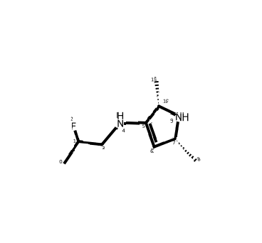 CC(F)CNC1=C[C@@H](C)N[C@H]1C